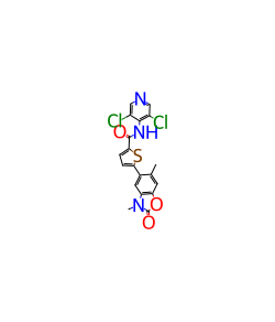 Cc1cc2oc(=O)n(C)c2cc1-c1ccc(C(=O)Nc2c(Cl)cncc2Cl)s1